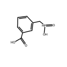 O=C(O)c1cccc(C[PH](=O)O)c1